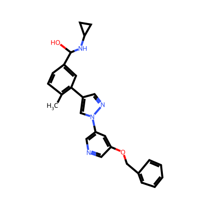 Cc1ccc(C(O)NC2CC2)cc1-c1cnn(-c2cncc(OCc3ccccc3)c2)c1